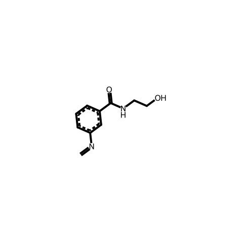 C=Nc1cccc(C(=O)NCCO)c1